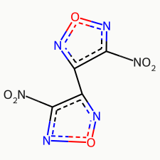 O=[N+]([O-])c1nonc1-c1nonc1[N+](=O)[O-]